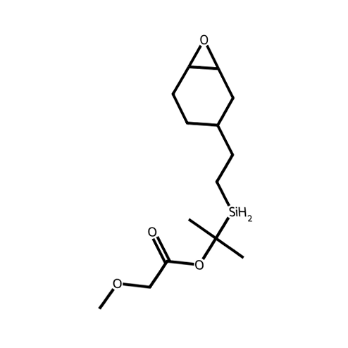 COCC(=O)OC(C)(C)[SiH2]CCC1CCC2OC2C1